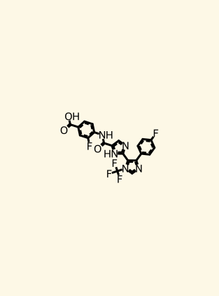 O=C(O)c1ccc(NC(=O)c2cnc(-c3c(-c4ccc(F)cc4)ncn3C(F)(F)F)[nH]2)c(F)c1